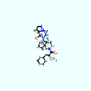 C[C@H](CC1CCCCC1)C(=O)N1CC[C@@](F)(Cn2cnn3cccc3c2=O)C2(CCCC2)C1